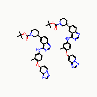 Cc1cc(Nc2ncnc3ccc(C4CCCN(C(=O)OC(C)(C)C)C4)cc23)ccc1Oc1ccn2ncnc2c1.Cc1cc(Nc2ncnc3ccc([C@@H]4CCCN(C(=O)OC(C)(C)C)C4)cc23)ccc1Oc1ccn2ncnc2c1